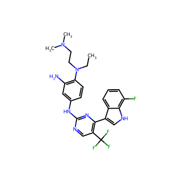 CCN(CCN(C)C)c1ccc(Nc2ncc(C(F)(F)F)c(-c3c[nH]c4c(F)cccc34)n2)cc1N